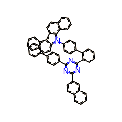 c1ccc(-c2ccc(-c3nc(-c4ccc5ccccc5c4)nc(-c4ccccc4-c4ccc(-n5c6ccc7ccccc7c6c6ccc7ccccc7c65)cc4)n3)cc2)cc1